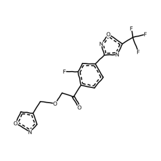 O=C(COCc1cnoc1)c1ccc(-c2noc(C(F)(F)F)n2)cc1F